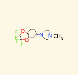 CN1CCN(c2ccc3c(c2)OC(F)(F)C(F)(F)O3)CC1